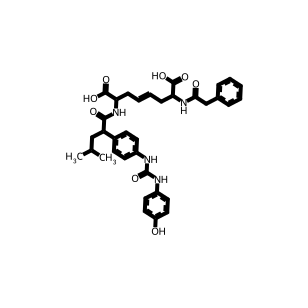 CC(C)CC(C(=O)NC(CC=CCC(NC(=O)Cc1ccccc1)C(=O)O)C(=O)O)c1ccc(NC(=O)Nc2ccc(O)cc2)cc1